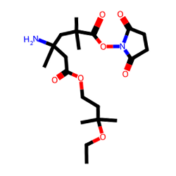 CCOC(C)(C)CCOC(=O)CC(C)(N)CC(C)(C)C(=O)ON1C(=O)CCC1=O